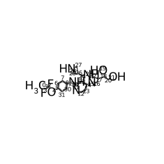 CC(F)(F)Oc1ccc(Nc2nccc(N3CC(C(O)CO)C3)c2C(=N)C2CNC2)cc1